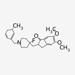 COc1cc2c(cc1OC)C(=O)C(CC1(F)CCN(CC3=CC(C)CC=C3)CC1)C2